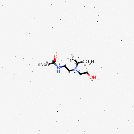 CCCCCCCCCC(=O)NCCN(CCO)C(C)C(=O)O